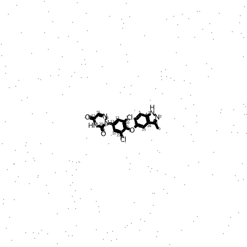 Cc1n[nH]c2ccc(Oc3c(Cl)cc(-n4ncc(=O)[nH]c4=O)cc3Cl)cc12